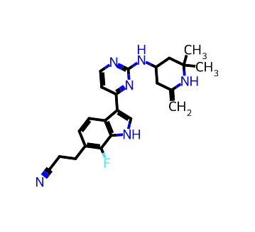 C=C1CC(Nc2nccc(-c3c[nH]c4c(F)c(CCC#N)ccc34)n2)CC(C)(C)N1